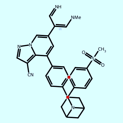 CN/C=C(\C=N)c1cc(-c2ccc(N3CC4CC(C3)N4Cc3ccc(S(C)(=O)=O)cn3)nc2)c2c(C#N)cnn2c1